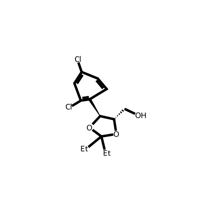 CCC1(CC)O[C@@H](CO)[C@H](c2ccc(Cl)cc2Cl)O1